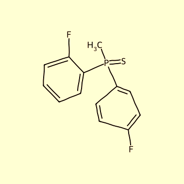 CP(=S)(c1ccc(F)cc1)c1ccccc1F